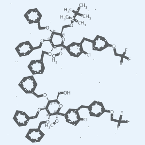 CO[C@@]1(c2ccc(Cl)c(Cc3ccc(OCC(F)(F)F)cc3)c2)O[C@H](CO)[C@@H](OCc2ccccc2)[C@H](OCc2ccccc2)[C@H]1OCc1ccccc1.CO[C@@]1(c2ccc(Cl)c(Cc3ccc(OCC(F)(F)F)cc3)c2)O[C@H](CO[Si](C)(C)C(C)(C)C)[C@@H](OCc2ccccc2)[C@H](OCc2ccccc2)[C@H]1OCc1ccccc1